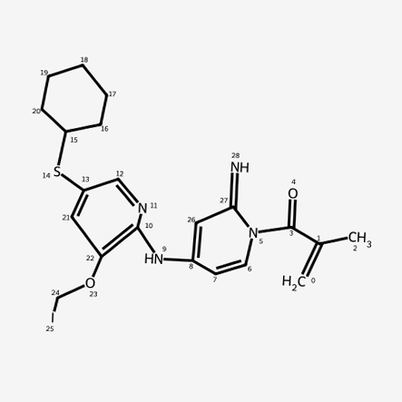 C=C(C)C(=O)n1ccc(Nc2ncc(SC3CCCCC3)cc2OCI)cc1=N